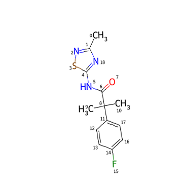 Cc1nsc(NC(=O)C(C)(C)c2ccc(F)cc2)n1